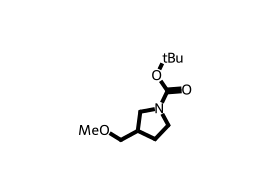 COCC1CCN(C(=O)OC(C)(C)C)C1